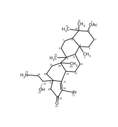 CC(=O)OC1CCC2(C)C(CCC3(C)C2CCC2C4=C(C(C)C)C(=O)CC4([C@H](O)CN)CCC23C)C1(C)C